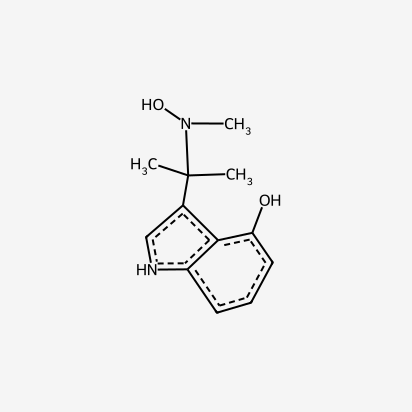 CN(O)C(C)(C)c1c[nH]c2cccc(O)c12